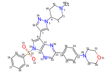 CCN1CCC(n2cc(-c3cn(S(=O)(=O)c4ccccc4)c4ncc(-c5ccc(N6CCOCC6)cc5)nc34)cn2)CC1